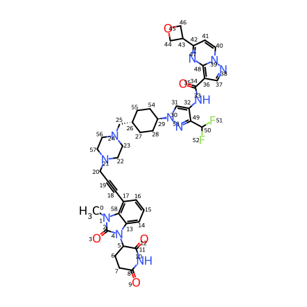 Cn1c(=O)n(C2CCC(=O)NC2=O)c2cccc(C#CCN3CCN(C[C@H]4CC[C@H](n5cc(NC(=O)c6cnn7ccc(C8COC8)nc67)c(C(F)F)n5)CC4)CC3)c21